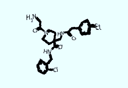 CCc1ccc(CC(=O)NCC2(C(=O)NCc3ccccc3Cl)CCN(C(=O)CN)CC2)cc1